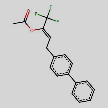 CC(=O)OC(=CCc1ccc(-c2ccccc2)cc1)C(F)(F)F